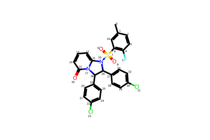 Cc1ccc(F)c(S(=O)(=O)N2c3cccc(=O)n3C(c3ccc(Cl)cc3)C2c2ccc(Cl)cc2)c1